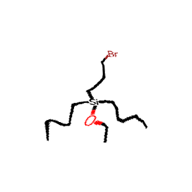 CCCC[Si](CCCC)(CCCBr)OCC